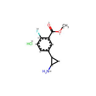 COC(=O)c1cc(C2CC2N)ccc1F.Cl